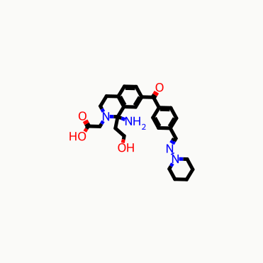 NC1(CCO)c2cc(C(=O)c3ccc(C=NN4CCCCC4)cc3)ccc2CCN1CC(=O)O